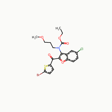 CCOC(=O)N(CCCOC)c1c(C(=O)c2ccc(Br)s2)oc2ccc(Cl)cc12